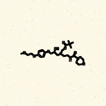 COCCOc1ccc(OCC(O)CN(CCNC(=O)N2CCOCC2)COC(=O)C(C)(C)C)cc1